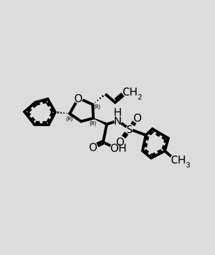 C=CC[C@H]1O[C@@H](c2ccccc2)C[C@@H]1C(NS(=O)(=O)c1ccc(C)cc1)C(=O)O